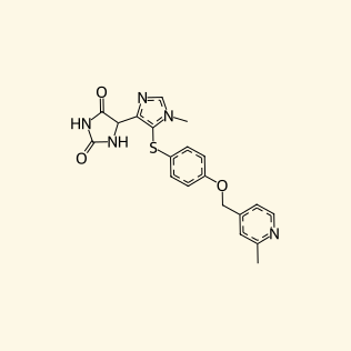 Cc1cc(COc2ccc(Sc3c(C4NC(=O)NC4=O)ncn3C)cc2)ccn1